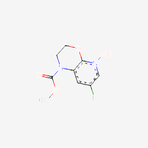 CC(C)(C)OC(=O)N1CCOc2c1cc(Br)c[n+]2O